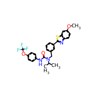 COc1ccc2nc(-c3cccc(CN(C(=O)Nc4ccc(OC(F)(F)F)cc4)C(C)C)c3)sc2c1